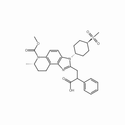 COC(=O)N1c2ccc3c(nc(CC(C(=O)O)c4ccccc4)n3[C@H]3CC[C@H](S(C)(=O)=O)CC3)c2CC[C@@H]1C